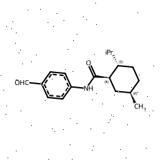 CC(C)[C@@H]1CC[C@@H](C)C[C@H]1C(=O)Nc1ccc(C=O)cc1